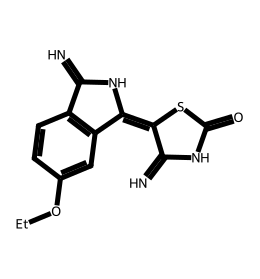 CCOc1ccc2c(c1)C(=C1SC(=O)NC1=N)NC2=N